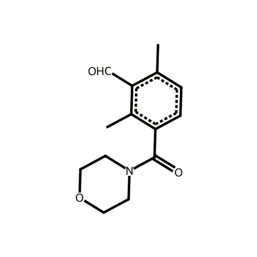 Cc1ccc(C(=O)N2CCOCC2)c(C)c1C=O